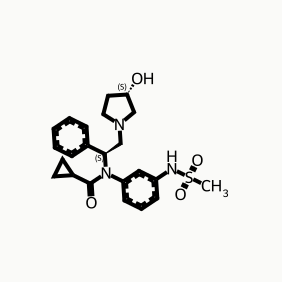 CS(=O)(=O)Nc1cccc(N(C(=O)C2CC2)[C@H](CN2CC[C@H](O)C2)c2ccccc2)c1